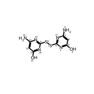 Nc1cc(O)nc(SSc2nc(N)cc(O)n2)n1